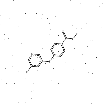 COC(=O)c1ccc(Sc2cncc(F)c2)cc1